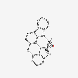 CN1C=CN2c3cccc4c3C3(c5ccccc5-n5c6ccccc6c6ccc(c3c65)O4)C12